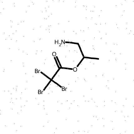 CC(CN)OC(=O)C(Br)(Br)Br